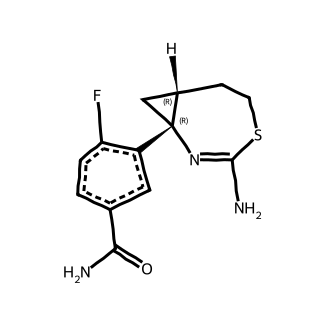 NC(=O)c1ccc(F)c([C@@]23C[C@@H]2CCSC(N)=N3)c1